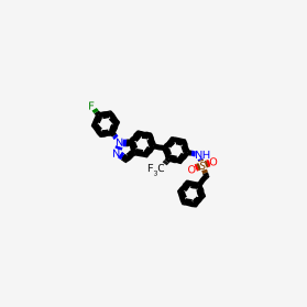 O=S(=O)(Cc1ccccc1)Nc1ccc(-c2ccc3c(cnn3-c3ccc(F)cc3)c2)c(C(F)(F)F)c1